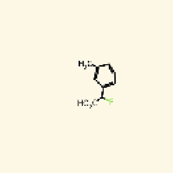 Cc1cccc(C(F)C(=O)O)c1